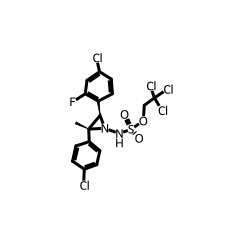 C[C@@]1(c2ccc(Cl)cc2)[C@@H](c2ccc(Cl)cc2F)N1NS(=O)(=O)OCC(Cl)(Cl)Cl